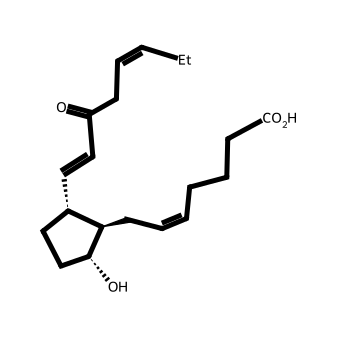 CC/C=C\CC(=O)/C=C/[C@H]1CC[C@@H](O)[C@@H]1C/C=C\CCCC(=O)O